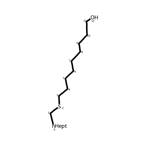 CCCCCCCCSCCCCCCCCCO